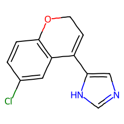 Clc1ccc2c(c1)C(c1cnc[nH]1)=CCO2